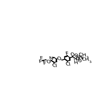 CN(C)S(=O)(=O)NC(=O)c1cc(Cl)c(COc2cnc(OCC(F)(F)F)c(Cl)c2)cc1F